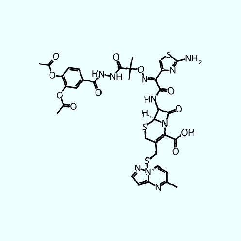 CC(=O)Oc1ccc(C(=O)NNC(=O)C(C)(C)ON=C(C(=O)NC2C(=O)N3C(C(=O)O)=C(CS[N+]45C=CC(C)=NC4=CC=N5)CS[C@@H]23)c2csc(N)n2)cc1OC(C)=O